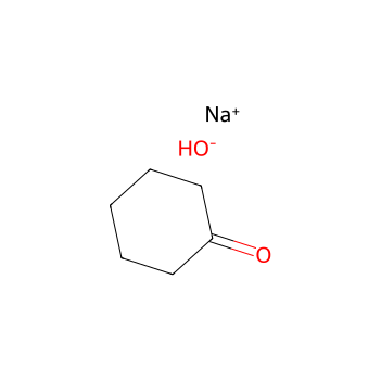 O=C1CCCCC1.[Na+].[OH-]